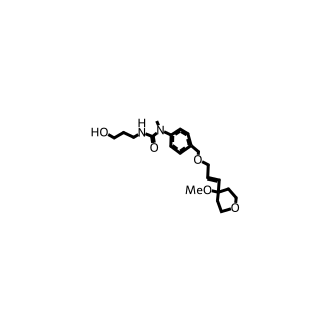 COC1(C=CCOCc2ccc(N(C)C(=O)NCCCO)cc2)CCOCC1